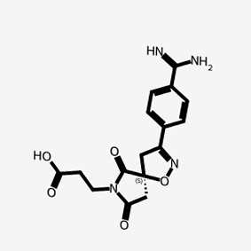 N=C(N)c1ccc(C2=NO[C@]3(CC(=O)N(CCC(=O)O)C3=O)C2)cc1